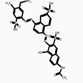 CC(=O)Nc1ccc2c(O)c(N=Nc3ccc(N=Nc4cc(CN)c(C)cc4S(=O)(=O)O)c4cc(S(=O)(=O)O)ccc34)c(S(=O)(=O)O)cc2c1